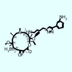 B[C@@H]1[C@@H](C)C(=O)[C@](C)(F)C(=O)O[C@H](CC)[C@@](C)(OC#C)[C@H](NCCCCn2cc(-c3cccc(N)c3)nn2)[C@@H](C)N(C)C[C@H](C)C[C@@]1(C)OC